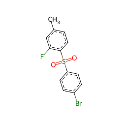 Cc1ccc(S(=O)(=O)c2ccc(Br)cc2)c(F)c1